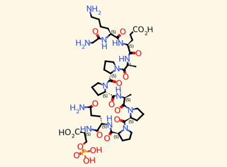 C[C@H](NC(=O)[C@H](CCC(=O)O)NC(=O)[C@H](CCCCN)NC(=O)CN)C(=O)N1CCC[C@H]1C(=O)N1CCC[C@H]1C(=O)N[C@@H](C)C(=O)N1CCC[C@H]1C(=O)N1CCC[C@H]1C(=O)N[C@@H](CCC(N)=O)C(=O)N[C@@H](COP(=O)(O)O)C(=O)O